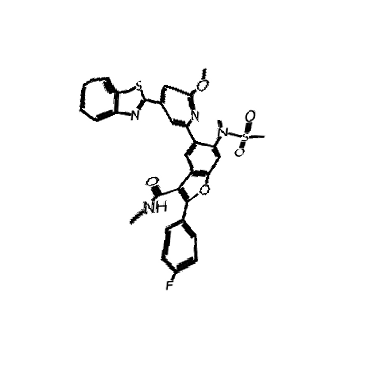 CNC(=O)c1c(-c2ccc(F)cc2)oc2cc(N(C)S(C)(=O)=O)c(-c3cc(-c4nc5ccccc5s4)cc(OC)n3)cc12